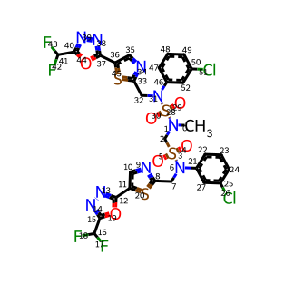 CN(CS(=O)(=O)N(Cc1ncc(-c2nnc(C(F)F)o2)s1)c1cccc(Cl)c1)S(=O)(=O)N(Cc1ncc(-c2nnc(C(F)F)o2)s1)c1cccc(Cl)c1